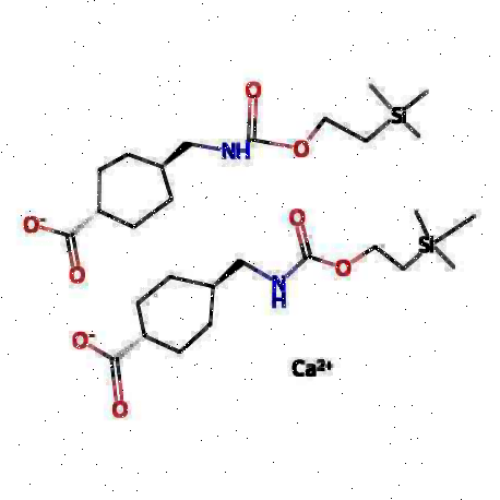 C[Si](C)(C)CCOC(=O)NC[C@H]1CC[C@H](C(=O)[O-])CC1.C[Si](C)(C)CCOC(=O)NC[C@H]1CC[C@H](C(=O)[O-])CC1.[Ca+2]